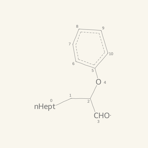 CCCCCCCCC([C]=O)Oc1ccccc1